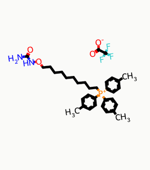 Cc1ccc([P+](CCCCCCCCCCONC(N)=O)(c2ccc(C)cc2)c2ccc(C)cc2)cc1.O=C([O-])C(F)(F)F